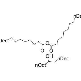 CCCCCCCCCCCC(O)CCCCCCCC.CCCCCCCCCCCCCCCCCC(=O)OC(=O)CCCCCCCCCCCCCCCCC